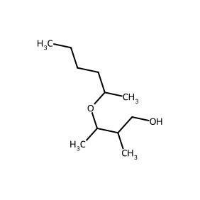 CCCCC(C)OC(C)C(C)CO